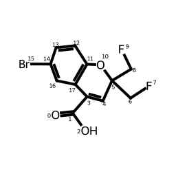 O=C(O)C1=CC(CF)(CF)Oc2ccc(Br)cc21